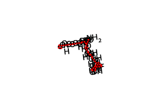 CC[C@@]1(O)C(=O)OCc2c1cc1n(c2=O)Cc2c-1nc1cc(F)c(C)c3c1c2[C@@H](NC(=O)COCNC(=O)CNC(=O)CNC(=O)OCc1ccc(NC(=O)[C@H](CCCNC(N)=O)NC(=O)[C@@H](NC(=O)CCOCCOCCOCCOCCNC(=O)COC2/C=C\CCCCC2)C(C)C)cc1)CC3